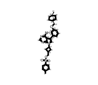 Cc1ccc(S(=O)(=O)OCC2CC(n3cc(-c4cccc(OC[C@]56CC[C@](C)(CC5)O6)c4)c4c(N)ncnc43)C2)cc1